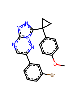 COc1ccc(C2(c3nnc4ncc(-c5cccc(Br)c5)nn34)CC2)cc1